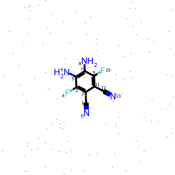 N#Cc1c(F)c(N)c(N)c(F)c1C#N